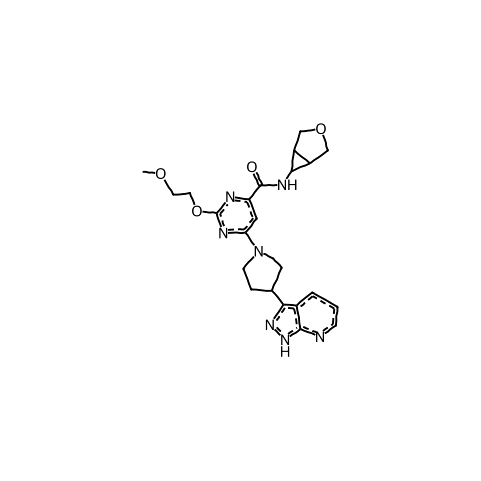 COCCOc1nc(C(=O)NC2C3COCC32)cc(N2CCC(c3n[nH]c4ncccc34)CC2)n1